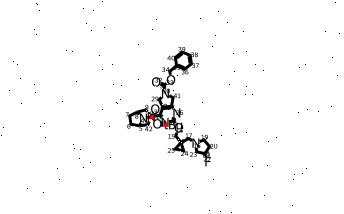 CC(C)(C)OC(=O)N1C2CCC1CN(c1nc(OCC3(CN4CC[C@@H](F)C4)CC3)nc3c1CN(C(=O)OCc1ccccc1)C3)C2